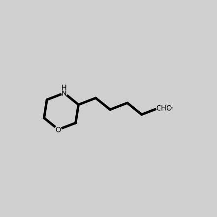 O=[C]CCCCC1COCCN1